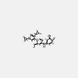 C=N/C(=C\C(=C/C)Oc1cn(C2CC2)nc1C1CC1)Nc1ccn(C)c(=O)c1